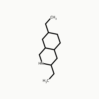 CCC1CCC2CC(CC)NCC2C1